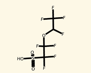 O=S(=O)(O)C(F)(F)C(F)(F)OC(F)C(F)(F)F